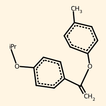 C=C(Oc1ccc(C)cc1)c1ccc(OC(C)C)cc1